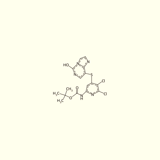 CC(C)(C)OC(=O)Nc1cc(Sc2cnc(O)n3ccnc23)c(Cl)c(Cl)n1